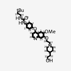 COc1cc2c(Oc3ccc(NC(=O)NCCC(C)(C)C)cc3)ccnc2cc1OCCN1CCC(CCO)CC1